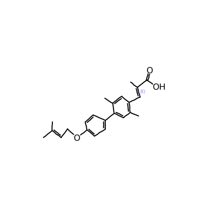 CC(C)=CCOc1ccc(-c2cc(C)c(/C=C(\C)C(=O)O)cc2C)cc1